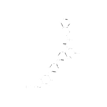 CC1CN(C(=O)NCCc2ccccc2)c2ccc(-c3ccc([C@H]4CC[C@H](CC(=O)O)CC4)cc3)cc2O1